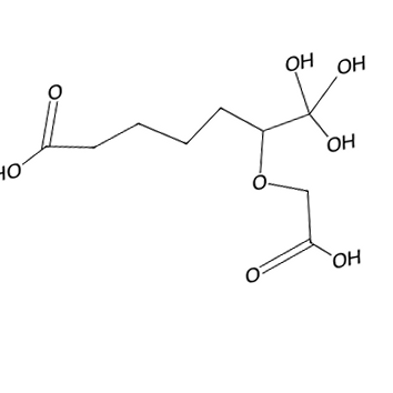 O=C(O)CCCCC(OCC(=O)O)C(O)(O)O